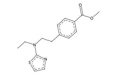 CCN(CCc1ccc(C(=O)OC)cc1)c1nccs1